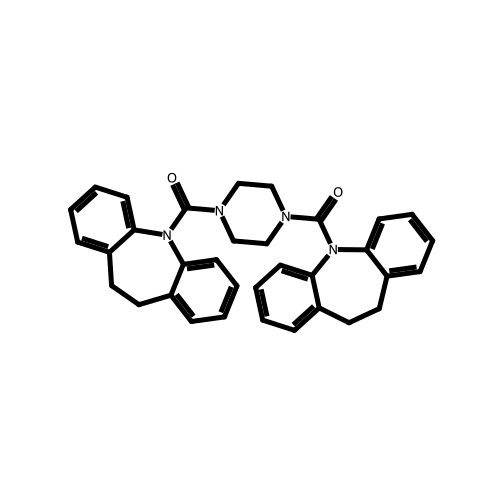 O=C(N1CCN(C(=O)N2c3ccccc3CCc3ccccc32)CC1)N1c2ccccc2CCc2ccccc21